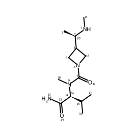 CN[C@H](C)C1CN(C(=O)N(C)[C@H](C(N)=O)C(C)C)C1